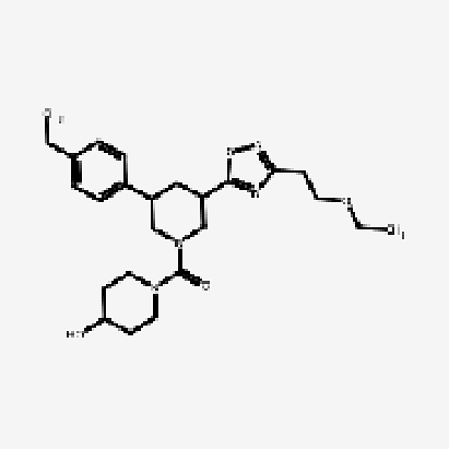 CCOCCc1noc(C2CC(c3ccc(CC)cc3)CN(C(=O)N3CCC(O)CC3)C2)n1